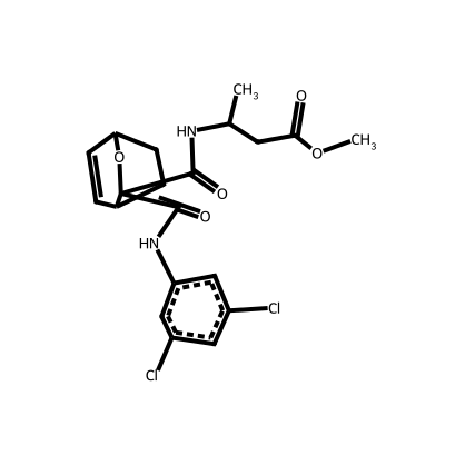 COC(=O)CC(C)NC(=O)C1(C(=O)Nc2cc(Cl)cc(Cl)c2)OC2C=CC1CC2